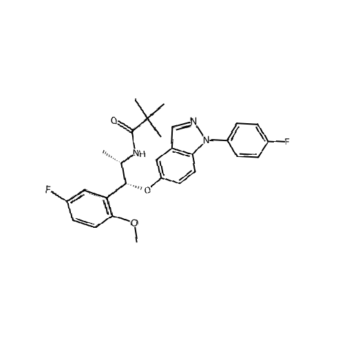 COc1ccc(F)cc1[C@@H](Oc1ccc2c(cnn2-c2ccc(F)cc2)c1)[C@H](C)NC(=O)C(C)(C)C